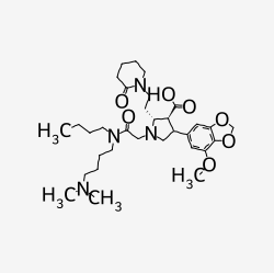 CCCCN(CCCCN(C)C)C(=O)CN1CC(c2cc(OC)c3c(c2)OCO3)[C@H](C(=O)O)[C@H]1CCN1CCCCC1=O